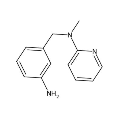 CN(Cc1cccc(N)c1)c1ccccn1